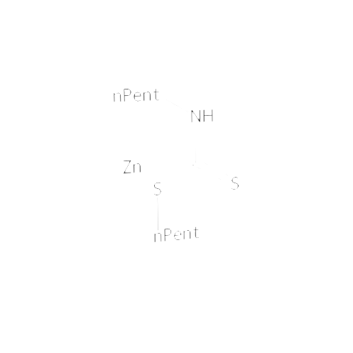 CCCCCNC(=S)SCCCCC.[Zn]